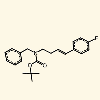 CC(C)(C)OC(=O)N(CCC=Cc1ccc(F)cc1)Cc1ccccc1